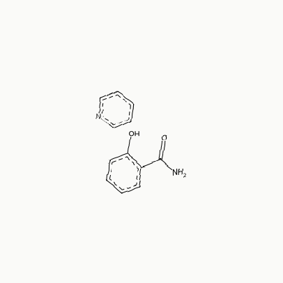 NC(=O)c1ccccc1O.c1ccncc1